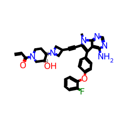 C=CC(=O)N1CC[C@@H](N2CC(C#Cc3c(-c4ccc(Oc5ccccc5F)cc4)c4c(N)ncnc4n3C)C2)[C@@H](O)C1